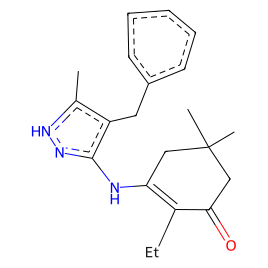 CCC1=C(Nc2n[nH]c(C)c2Cc2ccccc2)CC(C)(C)CC1=O